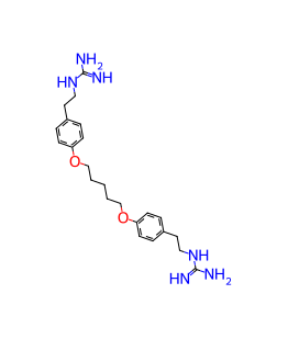 N=C(N)NCCc1ccc(OCCCCCOc2ccc(CCNC(=N)N)cc2)cc1